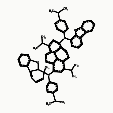 CC(C)c1ccc(N(c2cc(C(C)C)c3ccc4c(N(c5ccc(C(C)C)cc5)C5(C)C=CC=C6c7ccccc7OC65)cc(C(C)C)c5ccc2c3c54)c2cccc3c2oc2ccccc23)cc1